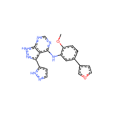 COc1ccc(-c2ccoc2)cc1Nc1ncnc2[nH]nc(-c3ccn[nH]3)c12